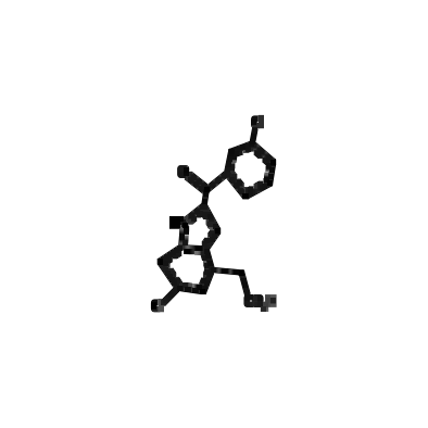 O=C(O)Cc1cc(Cl)cc2[nH]c(C(=O)c3cccc(Cl)c3)cc12